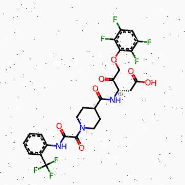 O=C(O)C[C@H](NC(=O)C1CCN(C(=O)C(=O)Nc2ccccc2C(F)(F)F)CC1)C(=O)COc1c(F)c(F)cc(F)c1F